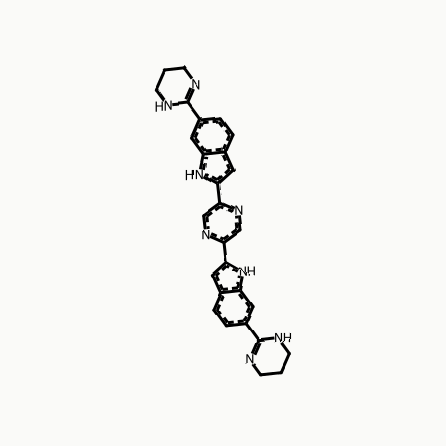 c1cc2cc(-c3cnc(-c4cc5ccc(C6=NCCCN6)cc5[nH]4)cn3)[nH]c2cc1C1=NCCCN1